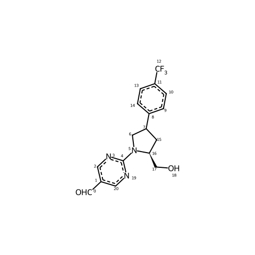 O=Cc1cnc(N2CC(c3ccc(C(F)(F)F)cc3)C[C@H]2CO)nc1